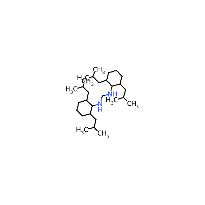 CC(C)CC1CCCC(CC(C)C)C1NCNC1C(CC(C)C)CCCC1CC(C)C